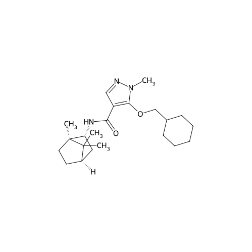 Cn1ncc(C(=O)N[C@@H]2C[C@H]3CC[C@]2(C)C3(C)C)c1OCC1CCCCC1